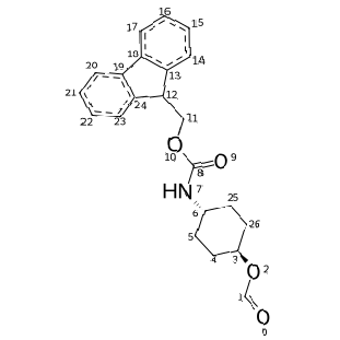 O=CO[C@H]1CC[C@H](NC(=O)OCC2c3ccccc3-c3ccccc32)CC1